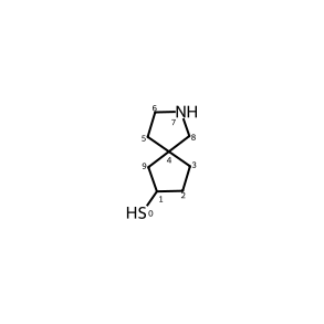 SC1CCC2(CCNC2)C1